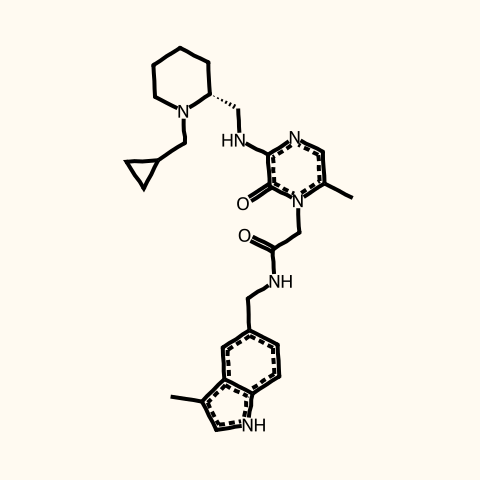 Cc1c[nH]c2ccc(CNC(=O)Cn3c(C)cnc(NC[C@H]4CCCCN4CC4CC4)c3=O)cc12